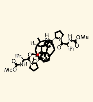 COC(=O)N[C@H](C(=O)N1CCC[C@H]1c1nc(C2=CC3=CC(C)[C@@H]2C[C@@H](C)c2ccc(c(-c4c[nH]c([C@@H]5CCCN5C(=O)[C@@H](NC(=O)OC)C(C)C)n4)c2)CC3)c[nH]1)C(C)C